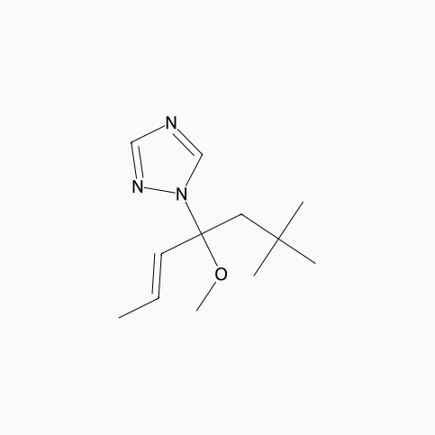 CC=CC(CC(C)(C)C)(OC)n1cncn1